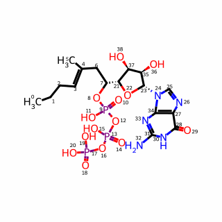 CCCC=C(C)CC(OP(=O)(O)OP(=O)(O)OP(=O)(O)O)[C@H]1O[C@@H](n2cnc3c(=O)[nH]c(N)nc32)[C@H](O)[C@@H]1O